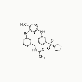 CC(=O)NCc1cccc(Nc2nc(Nc3cccc(S(=O)(=O)N4CCCC4)c3)ncc2C)c1